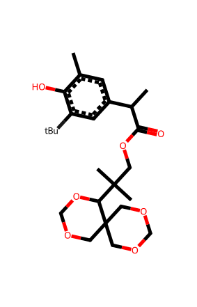 Cc1cc(C(C)C(=O)OCC(C)(C)C2OCOCC23COCOC3)cc(C(C)(C)C)c1O